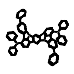 c1ccc(-c2ccc3c4c(N(c5ccccc5)c5ccccc5)ccc5c6cc7c(cc6n(c3c2)c54)c2ccc(N(c3ccccc3)c3ccccc3)c3c4ccc(-c5ccccc5)cc4n7c23)cc1